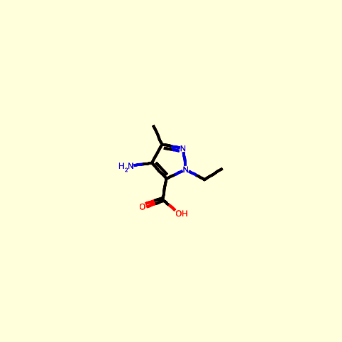 CCn1nc(C)c(N)c1C(=O)O